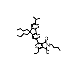 CCCCN1C(=O)c2c(CC)sc(-c3cc4c(s3)-c3sc(C(C)C)cc3C4(CCCC)CCCC)c2C1=O